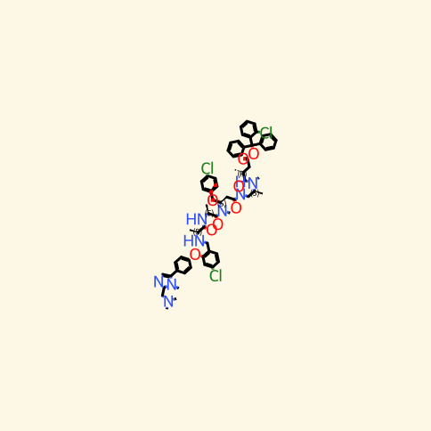 CCOC[C@H](NC(=O)[C@H](C)NCc1ccc(Cl)cc1Oc1ccc(-c2cnc(CN(C)C)n2C)cc1)C(=O)N(C)[C@H](CC(=O)NC[C@H](C)N(C)C(=O)[C@H](C)CC(=O)OC(c1ccccc1)(c1ccccc1)c1ccccc1Cl)Cc1ccc(Cl)cc1